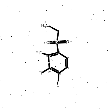 CCS(=O)(=O)c1ccc(F)[c]([Ti])c1F